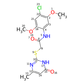 COc1cc(NC(=O)CSc2nc(C)cc(=O)[nH]2)c(OC)cc1Cl